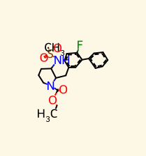 CCOC(=O)N1CCCC(NS(C)(=O)=O)C1Cc1ccc(F)c(-c2ccccc2)c1